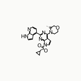 C[C@@H]1COCCN1c1nc(-c2ccnc3[nH]ccc23)nc2c1ccn2S(=O)(=O)C1CC1